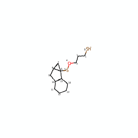 SCCCOSC12CC1CC1CCCCC12